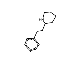 c1cc(CCC2CCCCN2)ccn1